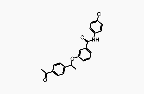 CC(=O)c1ccc(C(C)Oc2cccc(C(=O)Nc3ccc(Cl)cc3)c2)cc1